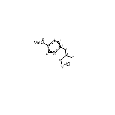 COc1ccc(CC(C)CC=O)cc1